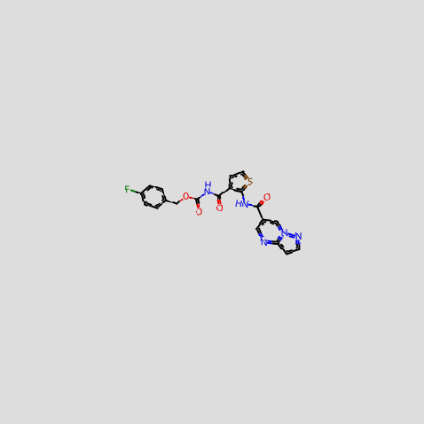 O=C(NC(=O)c1ccsc1NC(=O)c1cnc2ccnn2c1)OCc1ccc(F)cc1